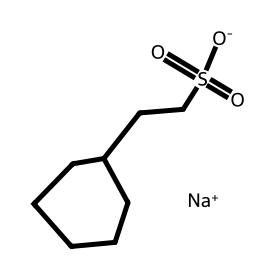 O=S(=O)([O-])CCC1CCCCC1.[Na+]